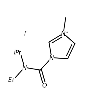 CCN(C(=O)n1cc[n+](C)c1)C(C)C.[I-]